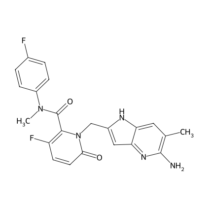 Cc1cc2[nH]c(Cn3c(C(=O)N(C)c4ccc(F)cc4)c(F)ccc3=O)cc2nc1N